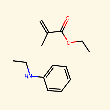 C=C(C)C(=O)OCC.CCNc1ccccc1